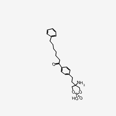 NC1(CCc2ccc(C(=O)CCCCCCc3ccccc3)cc2)COP(=O)(O)OC1